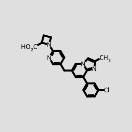 Cc1cn2cc(Cc3ccc(N4CCC4C(=O)O)nc3)cc(-c3cccc(Cl)c3)c2n1